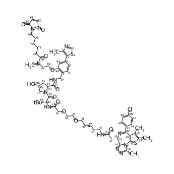 Cc1ncsc1-c1ccc(CNC(=O)[C@@H]2C[C@@H](O)CN2C(=O)[C@@H](NC(=O)COCCOCCOCCNC(=O)C[C@@H]2N=C(c3ccc(Cl)cc3)c3c(sc(C)c3C)-n3c(C)nnc32)C(C)(C)C)c(OCCN(C)C(=O)CCCCCN2C(=O)C=CC2=O)c1